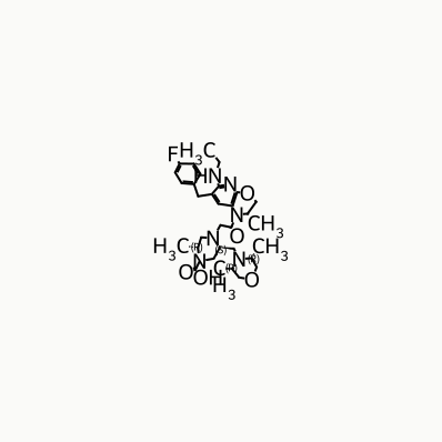 CCNc1nc2c(cc1Cc1ccc(F)cc1)N(C(=O)CN1C[C@@H](C)N(C(=O)O)C[C@@H]1CN1[C@H](C)COC[C@H]1C)C(C)CO2